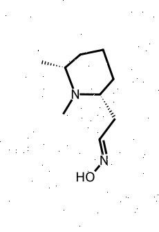 C[C@@H]1CCC[C@H](C/C=N/O)N1C